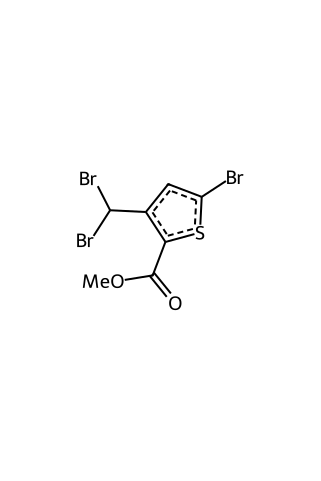 COC(=O)c1sc(Br)cc1C(Br)Br